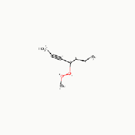 CC(C)(C)CCC(C#CC(=O)O)OOC(C)(C)C